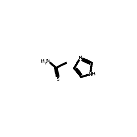 CC(N)=S.c1c[nH]cn1